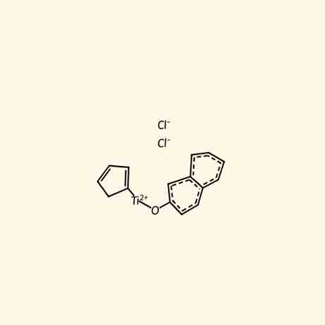 C1=CC[C]([Ti+2][O]c2ccc3ccccc3c2)=C1.[Cl-].[Cl-]